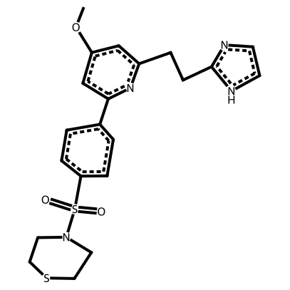 COc1cc(CCc2ncc[nH]2)nc(-c2ccc(S(=O)(=O)N3CCSCC3)cc2)c1